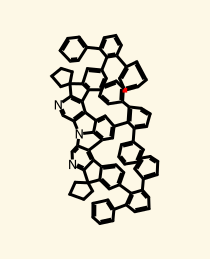 c1ccc(-c2cccc(-c3ccccc3)c2-c2ccc3c(c2)C2(CCCC2)c2ncc4c(c2-3)c2cc(-c3c(-c5ccccc5)cccc3-c3ccccc3)cc3c5c6c(ncc5n4c23)C2(CCCC2)c2cc(-c3c(-c4ccccc4)cccc3-c3ccccc3)ccc2-6)cc1